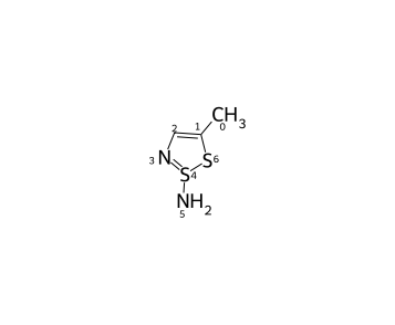 CC1=CN=S(N)S1